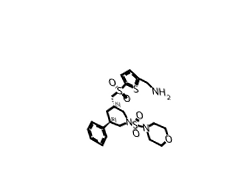 NCc1ccc(S(=O)(=O)C[C@H]2C[C@H](c3ccccc3)CN(S(=O)(=O)N3CCOCC3)C2)s1